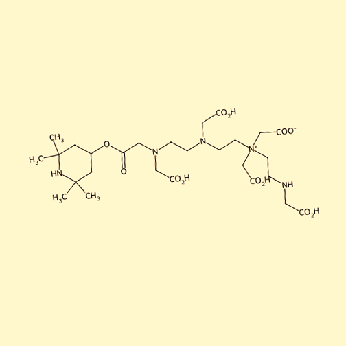 CC1(C)CC(OC(=O)CN(CCN(CC[N+](CCNCC(=O)O)(CC(=O)[O-])CC(=O)O)CC(=O)O)CC(=O)O)CC(C)(C)N1